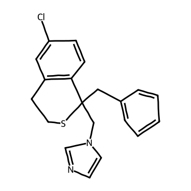 Clc1ccc2c(c1)CCSC2(Cc1ccccc1)Cn1ccnc1